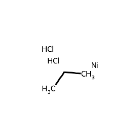 CCC.Cl.Cl.[Ni]